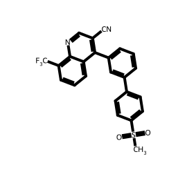 CS(=O)(=O)c1ccc(-c2cccc(-c3c(C#N)cnc4c(C(F)(F)F)cccc34)c2)cc1